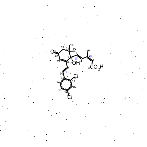 CC(=C/C(=O)O)/C=C/[C@@]1(O)C(/C=C/c2ccc(Cl)cc2Cl)=CC(=O)CC1(C)C